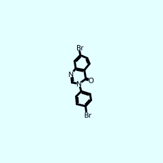 O=c1c2ccc(Br)cc2ncn1-c1ccc(Br)cc1